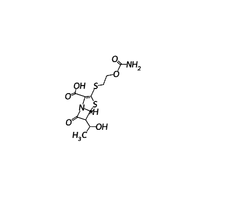 CC(O)C1C(=O)N2C(C(=O)O)=C(SCCOC(N)=O)S[C@H]12